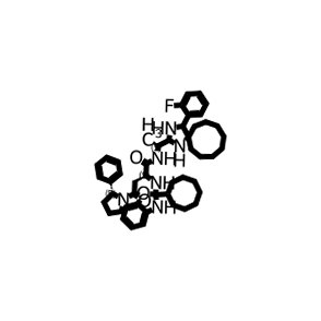 C[C@H](NC(=O)[C@H](CC(=O)N1CCC[C@@H]1c1ccccc1)NC1(C2CCCCCCC2)Nc2ccccc2O1)C1NC(c2ccccc2F)C2(CCCCCCCC2)N1